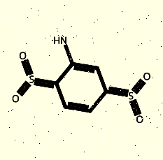 [NH]C1=CC(=S(=O)=O)C=CC1=S(=O)=O